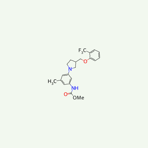 COC(=O)Nc1cc(C)cc(N2CCC(COc3ccccc3C(F)(F)F)C2)c1